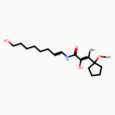 CCCCC(=C(O)C(=O)N/C=C/CCCCCCO)C1(OCCC)CCCC1